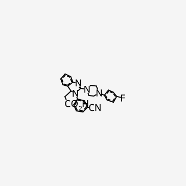 N#Cc1cccc(N2C(N3CCN(c4ccc(F)cc4)CC3)=Nc3ccccc3C2CC(=O)O)c1